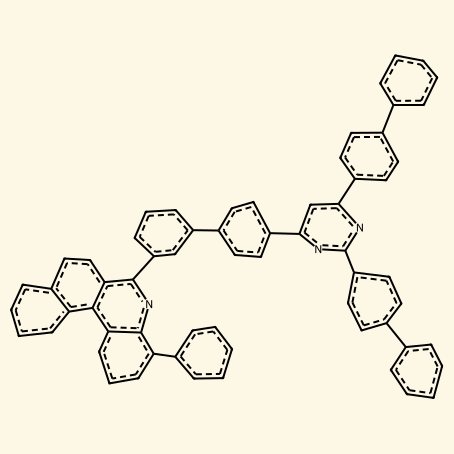 c1ccc(-c2ccc(-c3cc(-c4ccc(-c5cccc(-c6nc7c(-c8ccccc8)cccc7c7c6ccc6ccccc67)c5)cc4)nc(-c4ccc(-c5ccccc5)cc4)n3)cc2)cc1